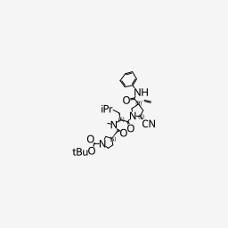 C=C[C@]1(C(=O)Nc2ccccc2)C[C@@H](C#N)N(C(=O)[C@H](CC(C)C)N(C)C(=O)[C@H]2CCN(C(=O)OC(C)(C)C)C2)C1